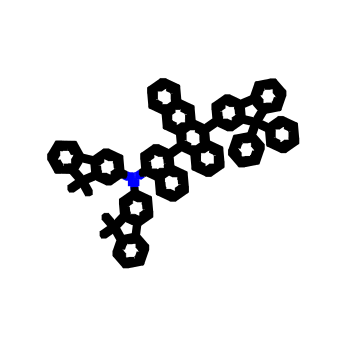 CC1(C)c2ccccc2-c2ccc(N(c3ccc4c(c3)C(C)(C)c3ccccc3-4)c3ccc(-c4c5ccccc5c(-c5ccc6c(c5)C(c5ccccc5)(c5ccccc5)c5ccccc5-6)c5cc6ccccc6cc45)c4ccccc34)cc21